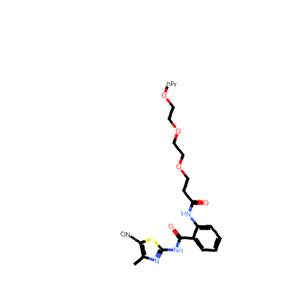 CCCOCCOCCOCCC(=O)Nc1ccccc1C(=O)Nc1nc(C)c(N=O)s1